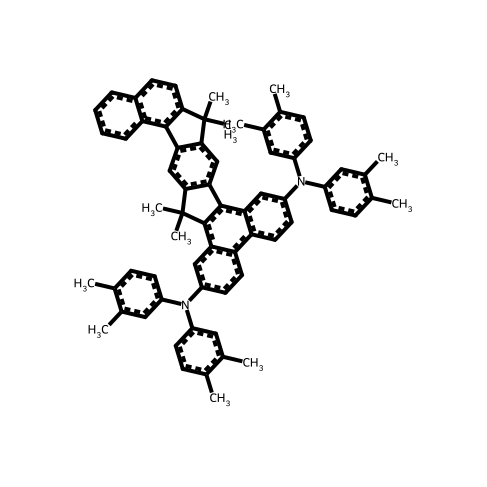 Cc1ccc(N(c2ccc(C)c(C)c2)c2ccc3c(c2)c2c(c4cc(N(c5ccc(C)c(C)c5)c5ccc(C)c(C)c5)ccc43)C(C)(C)c3cc4c(cc3-2)C(C)(C)c2ccc3ccccc3c2-4)cc1C